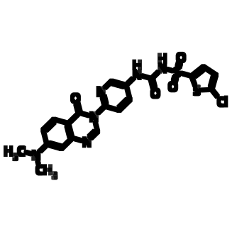 CN(C)c1ccc2c(=O)n(-c3ccc(NC(=O)NS(=O)(=O)c4ccc(Cl)s4)cn3)cnc2c1